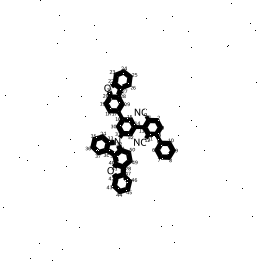 N#Cc1ccc(-c2ccccc2)c(C#N)c1-c1cc(-c2ccc3oc4ccccc4c3c2)cc(-n2c3ccccc3c3c4oc5ccccc5c4ccc32)c1